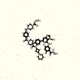 Cc1cc(F)c(Nc2nc(-c3ccc4c(c3)N(C3CC(N5CCCCC5)C3)C(=O)C43CCN(C(=O)c4ccc(CN5CCN(C(=O)OC(C)(C)C)CC5)cc4)CC3)cc3ncn(C(C)C)c23)cc1C(=O)NC(C)C